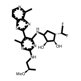 CO[C@H](C)CNc1nc(C)c(-c2nc3c(C)nccc3s2)c(NC2C[C@H](C(F)F)[C@@H](O)[C@H]2O)n1